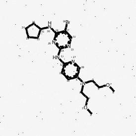 COCCN(CCOC)c1ccc(Nc2ncc(Br)c(NC3CCCC3)n2)nc1